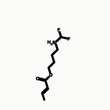 CC=CC(=O)OCCCC[SiH2]C(F)F